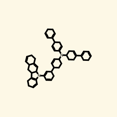 C1=CCCC(C2=CCC(N(C3=CCC(C4=CCCC=C4)C=C3)C3C=CC(C4C=C(N5C6=C(CCC=C6)C6CC7C=CCCC7=CC65)C=CC4)CC3)CC2)=C1